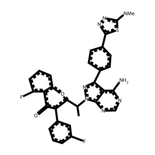 CNc1nnc(-c2ccc(-c3nn(C(C)c4oc5cccc(F)c5c(=O)c4-c4cccc(F)c4)c4ncnc(N)c34)cc2)s1